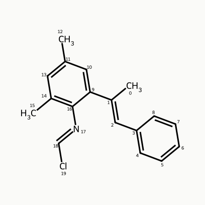 C/C(=C\c1ccccc1)c1cc(C)cc(C)c1/N=C/Cl